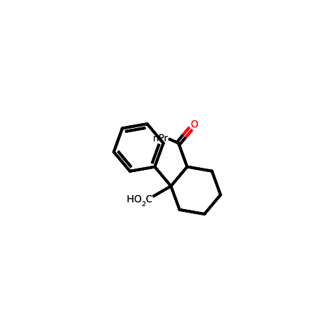 CCCC(=O)C1CCCCC1(C(=O)O)c1ccccc1